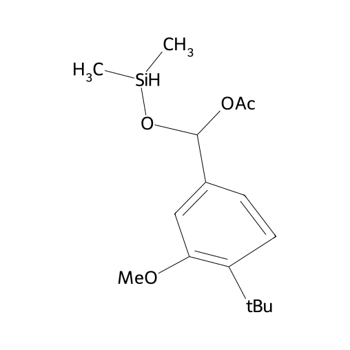 COc1cc(C(OC(C)=O)O[SiH](C)C)ccc1C(C)(C)C